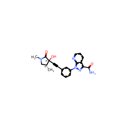 C[C@@H]1CN(C)C(=O)[C@]1(O)C#Cc1cccc(-n2nc(C(N)=O)c3cccnc32)c1